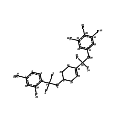 CCCc1ccc(C(F)(F)OC2CC=C(C(F)(F)Oc3cc(F)c(F)c(F)c3)CC2)c(F)c1